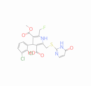 COC(=O)C1=C(CF)NC(CSc2nccc(=O)[nH]2)=C(C(=O)O)C1c1cccc(Cl)c1Cl